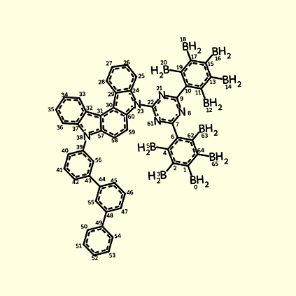 Bc1c(B)c(B)c(-c2nc(-c3c(B)c(B)c(B)c(B)c3B)nc(-n3c4ccccc4c4c5c6ccccc6n(-c6cccc(-c7cccc(-c8ccccc8)c7)c6)c5ccc43)n2)c(B)c1B